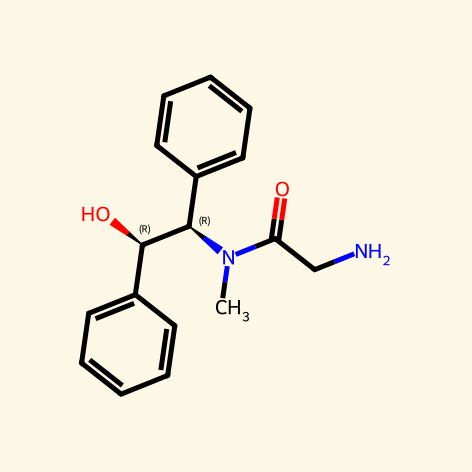 CN(C(=O)CN)[C@H](c1ccccc1)[C@H](O)c1ccccc1